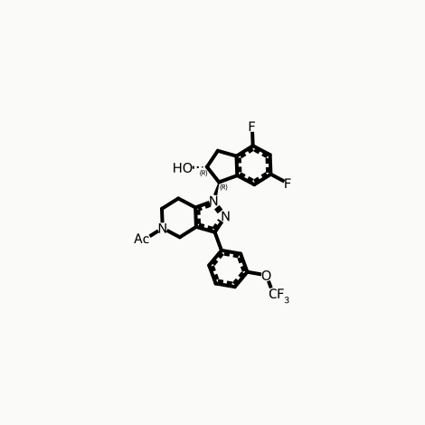 CC(=O)N1CCc2c(c(-c3cccc(OC(F)(F)F)c3)nn2[C@@H]2c3cc(F)cc(F)c3C[C@H]2O)C1